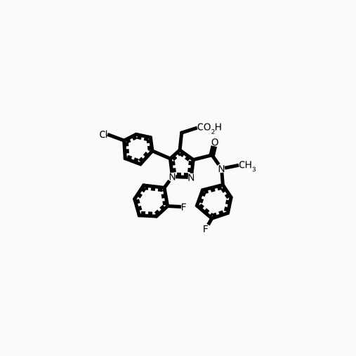 CN(C(=O)c1nn(-c2ccccc2F)c(-c2ccc(Cl)cc2)c1CC(=O)O)c1ccc(F)cc1